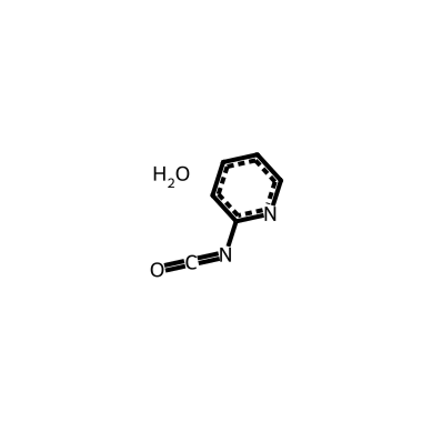 O.O=C=Nc1ccccn1